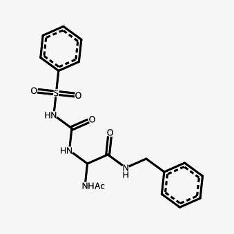 CC(=O)NC(NC(=O)NS(=O)(=O)c1ccccc1)C(=O)NCc1ccccc1